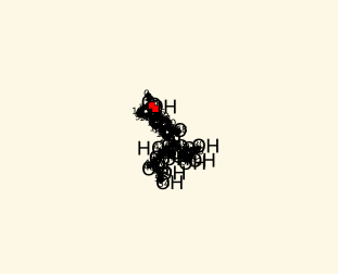 CCOC(=O)[C@]12CCC(C)(C)CC1C1=CCC3C4(C)CC[C@H](O[C@@H](CO[C@@H]5OC(CO)[C@H](O)C(O)C5O)OC(C(=O)O)[C@@H](O)CO[C@@H](CO)OC[C@@H](O)CO)C(C)(C=O)C4CCC3(C)C1(C)CC2O